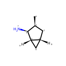 C[C@H]1C[C@@H]2C[C@@H]2[C@H]1N